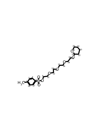 Cc1ccc(S(=O)(=O)OCCOCCOCCOCCOC2CCCCO2)cc1